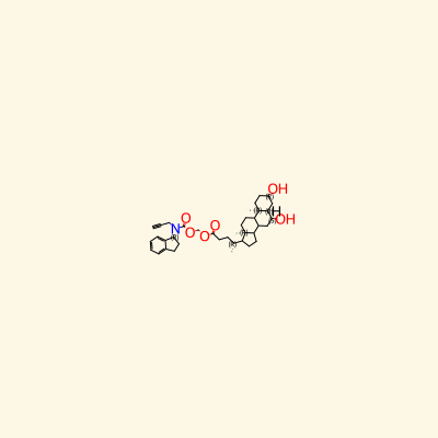 C#CCN(C(=O)OCOC(=O)CC[C@@H](C)C1CCC2C3C[C@H](O)[C@@H]4C[C@H](O)CC[C@]4(C)C3CC[C@@]21C)[C@@H]1CCc2ccccc21